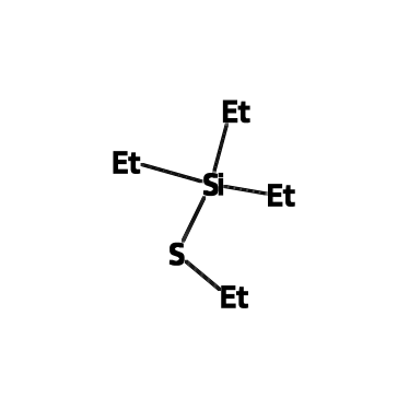 CCS[Si](CC)(CC)CC